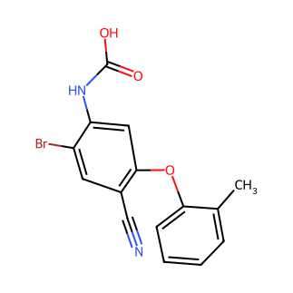 Cc1ccccc1Oc1cc(NC(=O)O)c(Br)cc1C#N